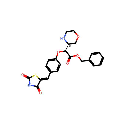 O=C1NC(=O)C(=Cc2ccc(OC(C(=O)OCc3ccccc3)[C@H]3COCCN3)cc2)S1